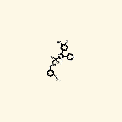 COc1cccc(CNCC(C)(C)c2nc(-c3ccc(Cl)c(O)c3)c(-c3ccncc3)[nH]2)c1